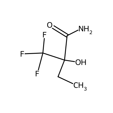 CCC(O)(C(N)=O)C(F)(F)F